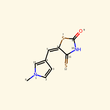 Cn1ccc(C=C2SC(=O)NC2=S)c1